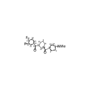 CNc1ccc(C(=O)N2CCCC(C(=O)c3ccc(F)c(F)c3)C2)cc1